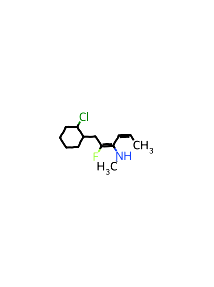 C/C=C\C(NC)=C(\F)CC1CCCCC1Cl